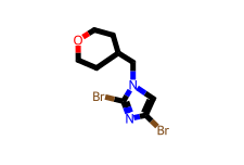 Brc1cn(CC2CCOCC2)c(Br)n1